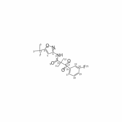 CC(C)(C)c1cc(NC(=O)C(C)(C)S(=O)(=O)c2cccc(F)c2)no1